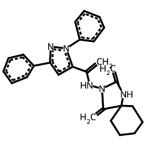 C=C(NN1C(=C)NC2(CCCCC2)C1=C)c1cc(-c2ccccc2)nn1-c1ccccc1